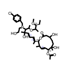 CC[C@H](OC)C(C)OC(C)C(N(CCO)Cc1ccc(Cl)cc1)C(C)(O)/C=C/C=C(\C)[C@H]1OC(=O)CC(O)CCC(C)(O)[C@@H](OC(C)=O)/C=C/C1C